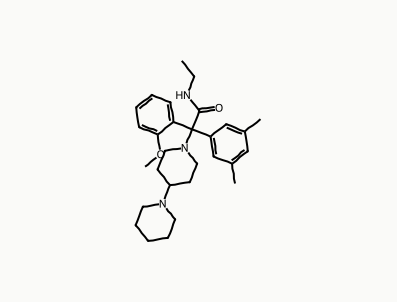 CCNC(=O)C(c1cc(C)cc(C)c1)(c1ccccc1OC)N1CCC(N2CCCCC2)CC1